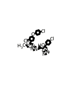 CC(C1CC1)C(O)(Cn1cncn1)c1ccc(Cl)cc1.CC1COC(Cn2cncn2)(c2ccc(Oc3ccc(Cl)cc3)cc2Cl)O1